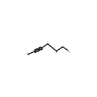 [CH2]C#CCCCI